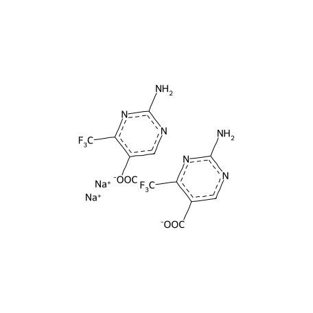 Nc1ncc(C(=O)[O-])c(C(F)(F)F)n1.Nc1ncc(C(=O)[O-])c(C(F)(F)F)n1.[Na+].[Na+]